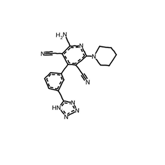 N#Cc1c(N)nc(N2CCCCC2)c(C#N)c1-c1cccc(-c2nnn[nH]2)c1